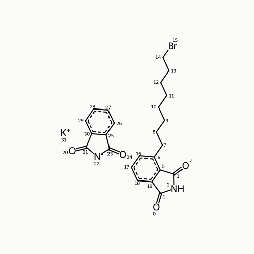 O=C1NC(=O)c2c(CCCCCCCCBr)cccc21.O=C1[N-]C(=O)c2ccccc21.[K+]